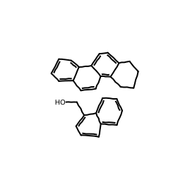 OCc1cccc2ccccc12.c1ccc2c(c1)ccc1c3c(ccc12)CCCC3